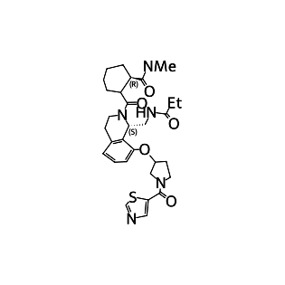 CCC(=O)NC[C@@H]1c2c(cccc2OC2CCN(C(=O)c3cncs3)C2)CCN1C(=O)C1CCCC[C@H]1C(=O)NC